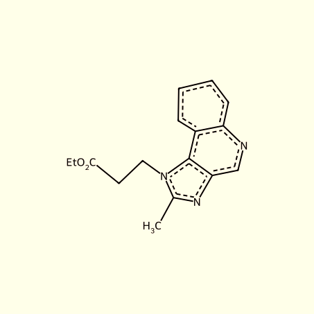 CCOC(=O)CCn1c(C)nc2cnc3ccccc3c21